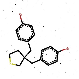 Brc1ccc(CC2(Cc3ccc(Br)cc3)CCSC2)cc1